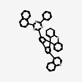 C1=C2Sc3ccccc3C3(C2=CCC1)c1cc(-c2nc(-c4ccccc4)nc(-c4cccc5ccccc45)n2)ccc1-c1ccc(-c2ccnc4ccccc24)cc13